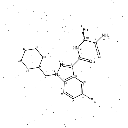 CC(C)(C)[C@H](NC(=O)c1nn(CC2CCCCC2)c2ccc(F)cc12)C(N)=O